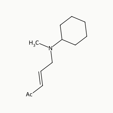 CC(=O)/C=C/CN(C)C1CCCCC1